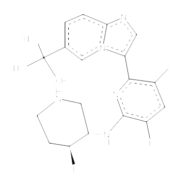 CC(C)(O)c1ccc2ncc(-c3nc(N[C@H]4CNCC[C@@H]4F)c(F)cc3F)n2c1